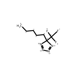 CCCCCC1(C(F)(F)F)N=NN=N1